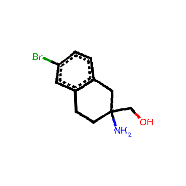 NC1(CO)CCc2cc(Br)ccc2C1